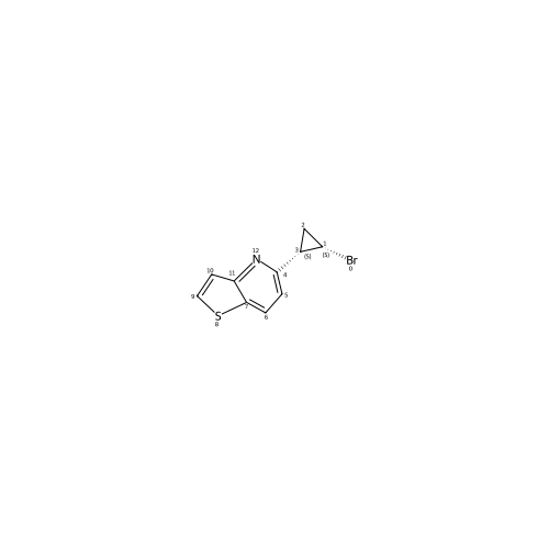 Br[C@H]1C[C@H]1c1ccc2sccc2n1